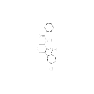 O=C(NC1CCCc2c1[nH]c1ccc(Cl)cc21)c1ccccc1